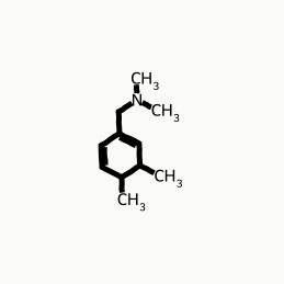 CC1C=CC(CN(C)C)=CC1C